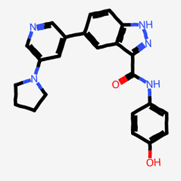 O=C(Nc1ccc(O)cc1)c1n[nH]c2ccc(-c3cncc(N4CCCC4)c3)cc12